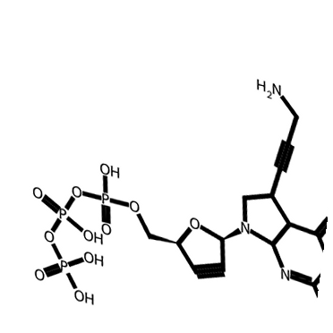 NCC#CC1CN([C@H]2C#C[C@@H](COP(=O)(O)OP(=O)(O)OP(=O)(O)O)O2)C2N=C(N)NC(=O)C12